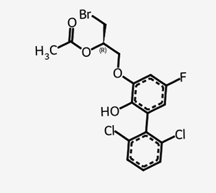 CC(=O)O[C@@H](CBr)COc1cc(F)cc(-c2c(Cl)cccc2Cl)c1O